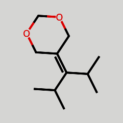 CC(C)C(=C1COCOC1)C(C)C